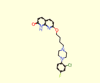 O=c1ccc2ccc(OCCCCN3CCN(c4ccc(F)cc4Cl)CC3)nc2[nH]1